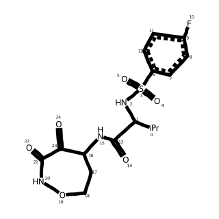 CC(C)C(NS(=O)(=O)c1ccc(F)cc1)C(=O)NC1CCONC(=O)C1=O